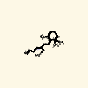 CC/C(=C\CC=N)CCC1C(C)=CCCC1(C)C